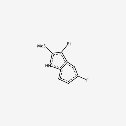 CCc1c(SC)[nH]c2ccc(F)cc12